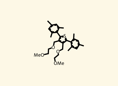 COCCOCc1c(-c2c(C)cc(C)cc2C)sc(-c2c(C)cc(C)cc2C)c1COCCOC